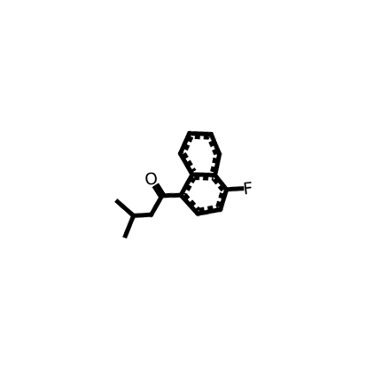 CC(C)CC(=O)c1ccc(F)c2ccccc12